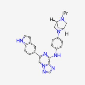 CC(C)N1C[C@@H]2C[C@@H]1CN2c1ccc(Nc2nc(-c3ccc4[nH]ccc4c3)cn3ncnc23)cc1